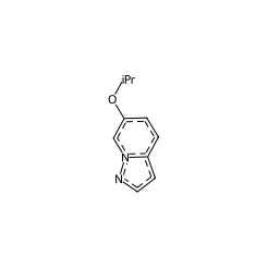 CC(C)Oc1ccc2ccnn2c1